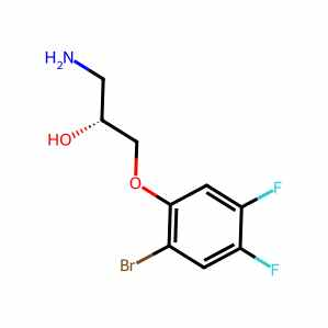 NC[C@@H](O)COc1cc(F)c(F)cc1Br